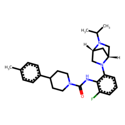 Cc1ccc(C2CCN(C(=O)Nc3c(F)cccc3N3C[C@H]4C[C@@H]3CN4C(C)C)CC2)cc1